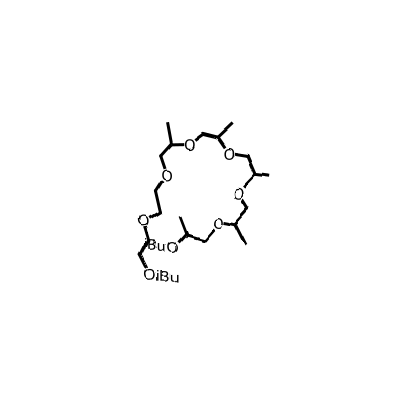 CC(C)COCCOCCOCC(C)OCC(C)OCC(C)OCC(C)OCC(C)OCC(C)C